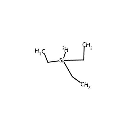 [2H][Si](CC)(CC)CC